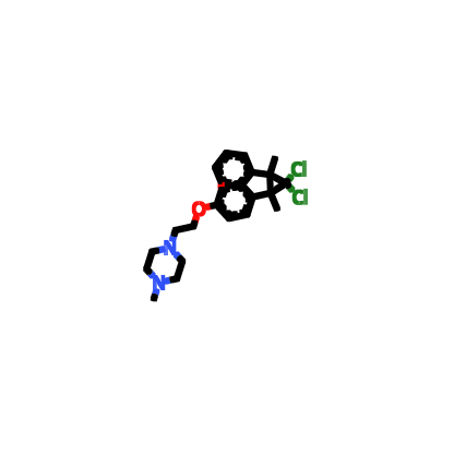 CN1CCN(CCOc2ccc(C3(C)C(Cl)(Cl)C3(C)c3ccccc3)cc2)CC1